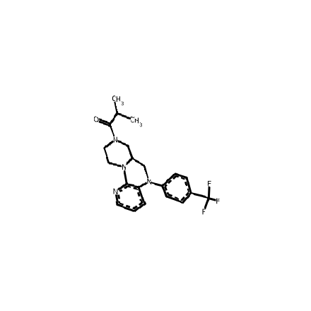 CC(C)C(=O)N1CCN2c3ncccc3N(c3ccc(C(F)(F)F)cc3)CC2C1